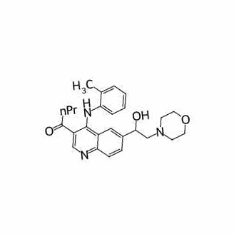 CCCC(=O)c1cnc2ccc(C(O)CN3CCOCC3)cc2c1Nc1ccccc1C